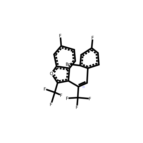 Fc1ccc(/C=C(\c2c(C(F)(F)F)oc3cc(F)ccc23)C(F)(F)F)c(Br)c1